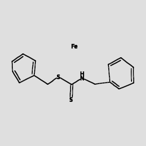 S=C(NCc1ccccc1)SCc1ccccc1.[Fe]